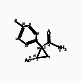 CC(=O)[C@H]1C[C@]1(C(N)=O)c1ccc(C)cc1